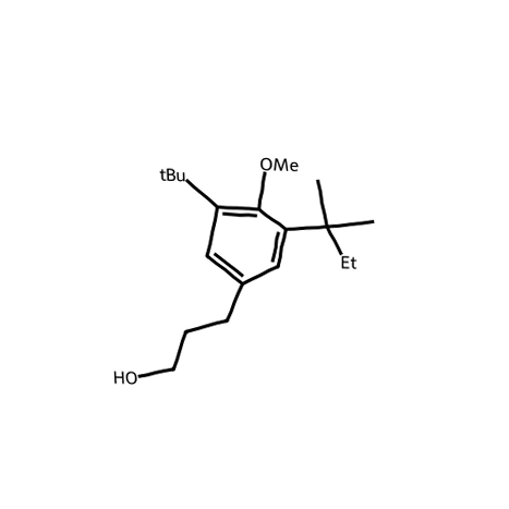 CCC(C)(C)c1cc(CCCO)cc(C(C)(C)C)c1OC